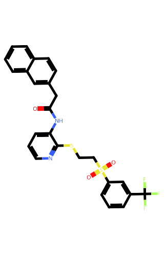 O=C(Cc1ccc2ccccc2c1)Nc1cccnc1SCCS(=O)(=O)c1cccc(C(F)(F)F)c1